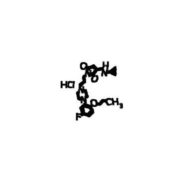 CCCOc1ccc(F)cc1N1CCN(CCCN2C(=O)CC(CNC3CC3)C2=O)CC1.Cl